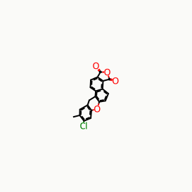 Cc1cc2c(cc1Cl)Oc1ccc3c4c(ccc3c1C2)C(=O)OC4=O